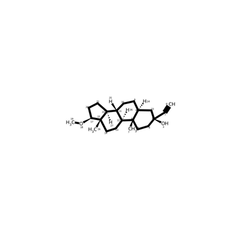 C#C[C@]1(O)CC[C@@]2(C)[C@@H](CC[C@@H]3[C@@H]2CC[C@]2(C)[C@@H](OC)CC[C@@H]32)C1